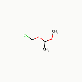 COC(C)OCCl